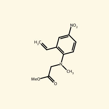 C=Cc1cc([N+](=O)[O-])ccc1N(C)CC(=O)OC